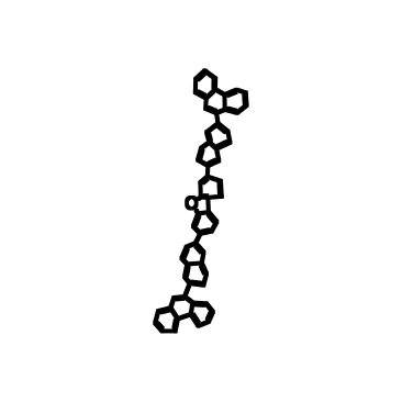 c1ccc2c(c1)cc(-c1ccc3cc(-c4ccc5c(c4)oc4cc(-c6ccc7cc(-c8cc9ccccc9c9ccccc89)ccc7c6)ccc45)ccc3c1)c1ccccc12